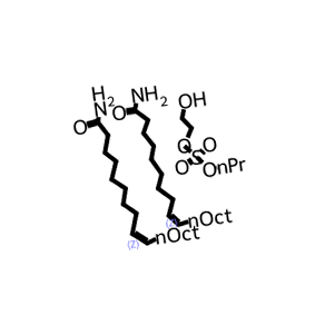 CCCCCCCC/C=C\CCCCCCCC(N)=O.CCCCCCCC/C=C\CCCCCCCC(N)=O.CCCOS(=O)(=O)OCCO